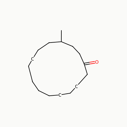 CC1CCCCCCCCCCCC(=O)CC1